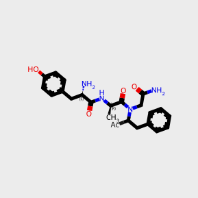 CC(=O)C(Cc1ccccc1)N(CC(N)=O)C(=O)[C@@H](C)NC(=O)[C@@H](N)Cc1ccc(O)cc1